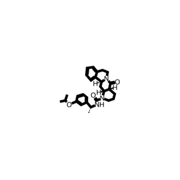 CC(C)Oc1cccc([C@@H](C)NC(=O)N2CCC[C@H]3C(=O)N4CCc5ccccc5[C@@H]4C[C@H]32)c1